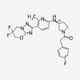 Cc1nc(N[C@H]2CCN(C(=O)Cc3ccc(F)cc3)C2)ccc1-c1nc2n(n1)CC(F)(F)CO2